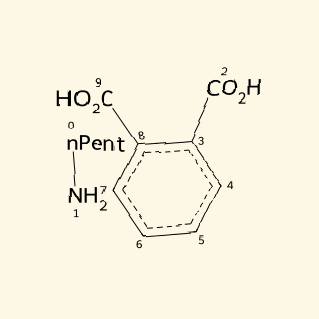 CCCCCN.O=C(O)c1ccccc1C(=O)O